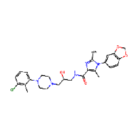 CCCc1nc(C(=O)NCC(O)CN2CCN(c3cccc(Cl)c3C)CC2)c(C)n1-c1ccc2c(c1)OCO2